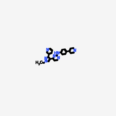 CCn1cc(-c2ccnc(Nc3ccc(-c4ccncc4)cc3)n2)c(-c2cccnc2)n1